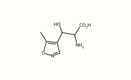 Cc1oncc1C(O)C(N)C(=O)O